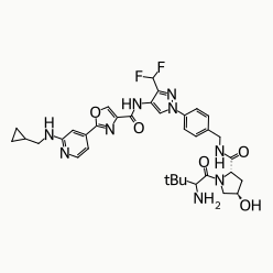 CC(C)(C)C(N)C(=O)N1C[C@H](O)C[C@H]1C(=O)NCc1ccc(-n2cc(NC(=O)c3coc(-c4ccnc(NCC5CC5)c4)n3)c(C(F)F)n2)cc1